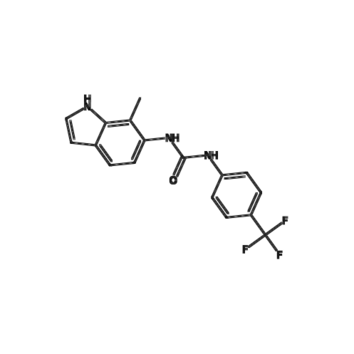 Cc1c(NC(=O)Nc2ccc(C(F)(F)F)cc2)ccc2cc[nH]c12